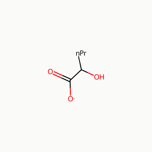 CCCC(O)C([O])=O